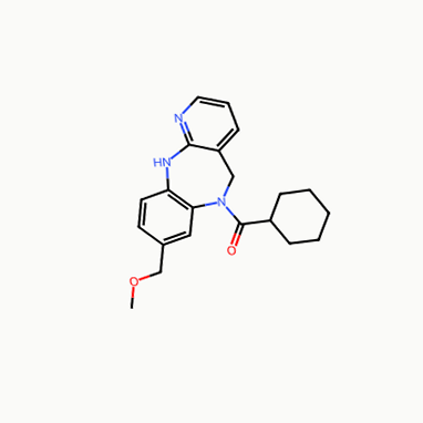 COCc1ccc2c(c1)N(C(=O)C1CCCCC1)Cc1cccnc1N2